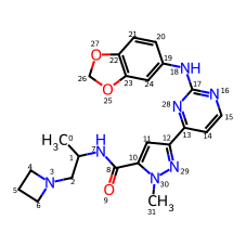 CC(CN1CCC1)NC(=O)c1cc(-c2ccnc(Nc3ccc4c(c3)OCO4)n2)nn1C